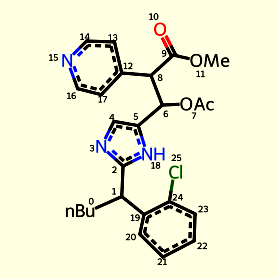 CCCCC(c1ncc(C(OC(C)=O)C(C(=O)OC)c2ccncc2)[nH]1)c1ccccc1Cl